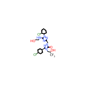 O=c1n(Cc2nc(NCCO)n(-c3ccccc3Cl)n2)nc(-c2ccc(Cl)cc2)n1C[C@H](O)C(F)(F)F